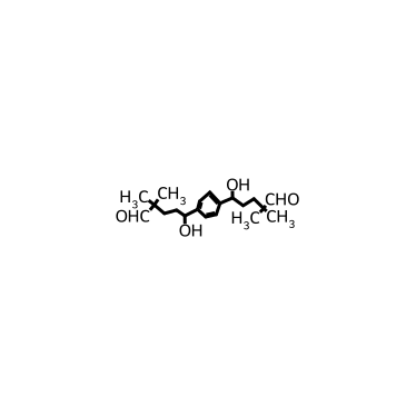 CC(C)(C=O)CCC(O)c1ccc(C(O)CCC(C)(C)C=O)cc1